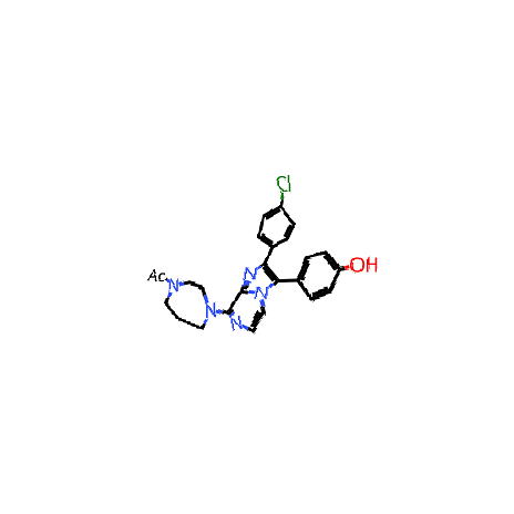 CC(=O)N1CCCN(c2nccn3c(-c4ccc(O)cc4)c(-c4ccc(Cl)cc4)nc23)CC1